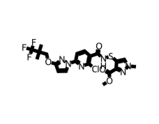 COC(=O)c1nn(C)cc1SNC(=O)c1ccc(-n2ccc(OCC(C)(C)C(F)(F)F)n2)nc1Cl